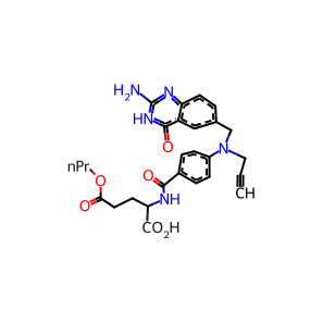 C#CCN(Cc1ccc2nc(N)[nH]c(=O)c2c1)c1ccc(C(=O)NC(CCC(=O)OCCC)C(=O)O)cc1